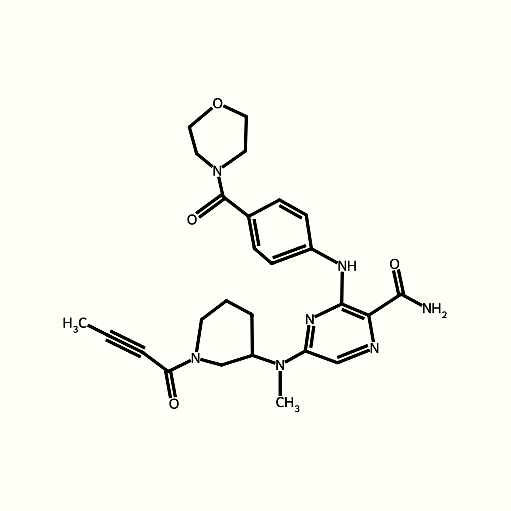 CC#CC(=O)N1CCCC(N(C)c2cnc(C(N)=O)c(Nc3ccc(C(=O)N4CCOCC4)cc3)n2)C1